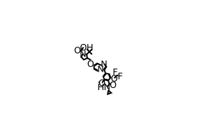 COc1cc(-c2cnc3cc(OCC4CCN(C(=O)O)C4C(C)(C)C)ccn23)cc(OC(F)F)c1C(=O)NC1CC1